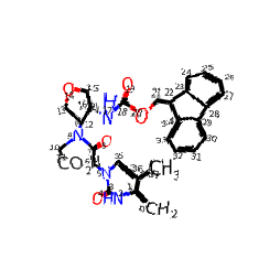 C=C1NC(=O)N(CC(=O)N(CC(=O)O)[C@H]2COC[C@@H]2NC(=O)OCC2c3ccccc3-c3ccccc32)C=C1C